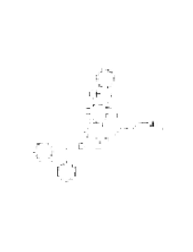 NCCCC[C@H](NC(=O)OCC1c2ccccc2-c2ccccc21)C(=O)N[C@@H](Cc1ccccc1)C(=O)O